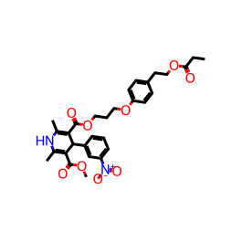 CCC(=O)OCCc1ccc(OCCCOC(=O)C2=C(C)NC(C)=C(C(=O)OC)C2c2cccc([N+](=O)[O-])c2)cc1